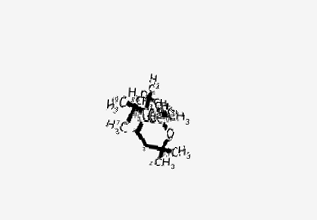 CC1(C)C[CH2][Ge]([C](C)(C)C)([C](C)(C)C)[Ge]([CH3])([CH3])[O]1